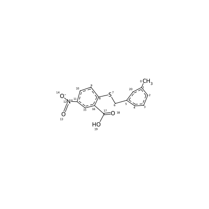 Cc1cccc(CSc2ccc([N+](=O)[O-])cc2C(=O)O)c1